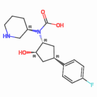 O=C(O)N([C@@H]1CCCNC1)[C@@H]1C[C@@H](c2ccc(F)cc2)C[C@H]1O